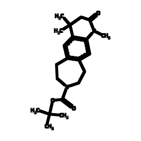 CN1C(=O)CC(C)(C)c2cc3c(cc21)CCN(C(=O)OC(C)(C)C)CC3